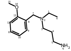 CCN(CCCN)Cc1ccccc1OC